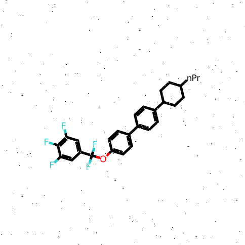 CCCC1CCC(c2ccc(-c3ccc(OC(F)(F)c4cc(F)c(F)c(F)c4)cc3)cc2)CC1